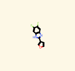 Fc1cc2nc(-c3ccoc3)[nH]c2cc1F